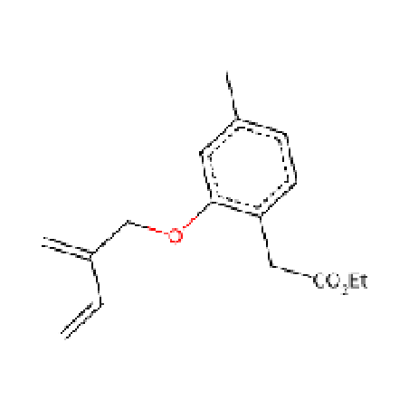 C=CC(=C)COc1cc(C)ccc1CC(=O)OCC